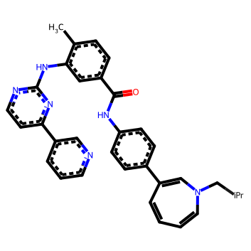 Cc1ccc(C(=O)Nc2ccc(C3=CN(CC(C)C)C=CC=C3)cc2)cc1Nc1nccc(-c2cccnc2)n1